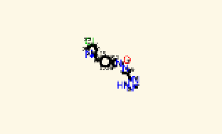 O=C(N1CC(c2ncn[nH]2)C1)N1CC2(CCC(Cc3ccc(Cl)cn3)CC2)C1